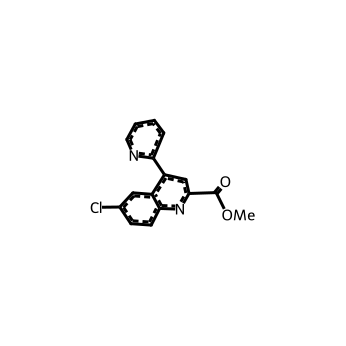 COC(=O)c1cc(-c2ccccn2)c2cc(Cl)ccc2n1